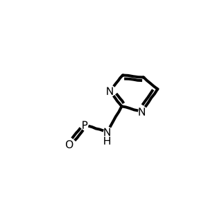 O=PNc1ncccn1